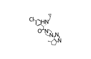 C[C@@H]1CCc2ncnc(N3CCN(C(=O)[C@@H](CNCC4CC4)c4ccc(Cl)cc4)CC3)c21